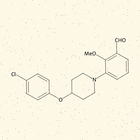 COc1c(C=O)cccc1N1CCC(Oc2ccc(Cl)cc2)CC1